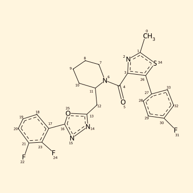 Cc1nc(C(=O)N2CCCCC2Cc2nnc(-c3cccc(F)c3F)o2)c(-c2ccc(F)cc2)s1